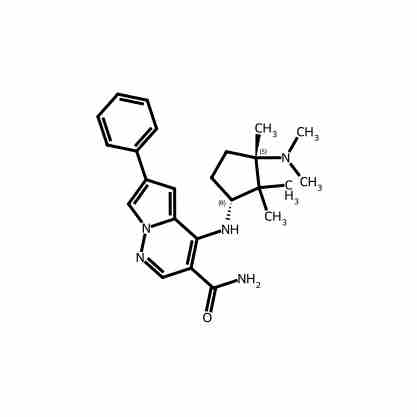 CN(C)[C@@]1(C)CC[C@@H](Nc2c(C(N)=O)cnn3cc(-c4ccccc4)cc23)C1(C)C